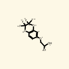 CCC(O)COc1ccc2c(c1)OC(F)(F)C(F)(F)O2